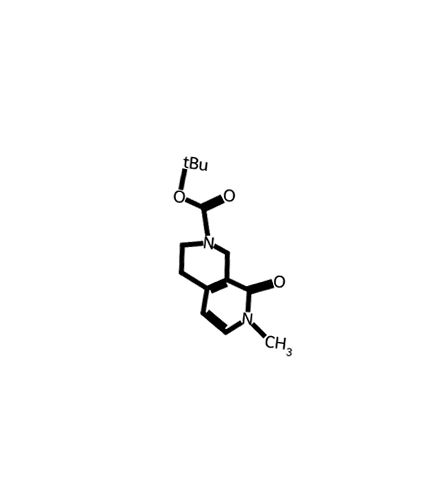 Cn1ccc2c(c1=O)CN(C(=O)OC(C)(C)C)CC2